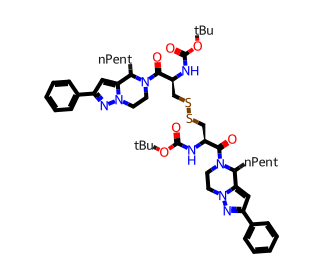 CCCCCC1c2cc(-c3ccccc3)nn2CCN1C(=O)[C@H](CSSC[C@H](NC(=O)OC(C)(C)C)C(=O)N1CCn2nc(-c3ccccc3)cc2C1CCCCC)NC(=O)OC(C)(C)C